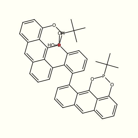 CC(C)(C)P1Oc2cccc3cc4cccc(-c5cccc(P(O)O)c5-c5cccc6cc7cccc8c7c(c56)OP(C(C)(C)C)O8)c4c(c23)O1